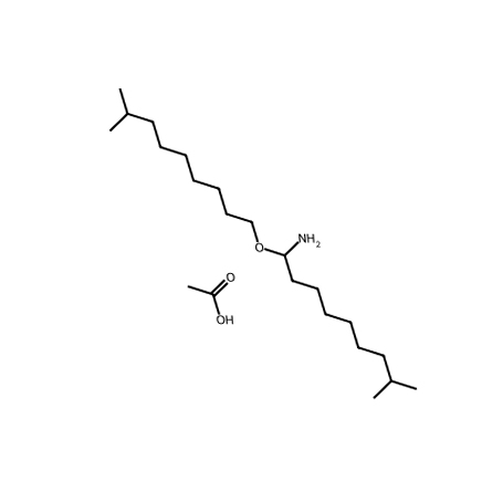 CC(=O)O.CC(C)CCCCCCCOC(N)CCCCCCC(C)C